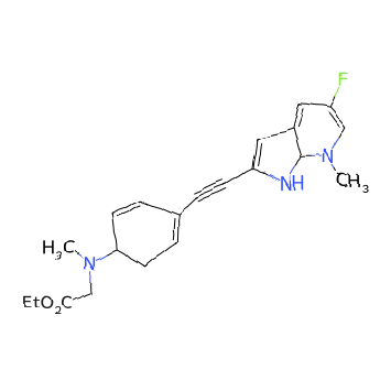 CCOC(=O)CN(C)C1C=CC(C#CC2=CC3=CC(F)=CN(C)C3N2)=CC1